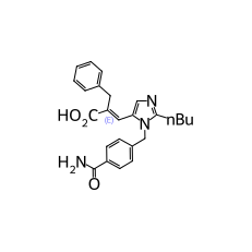 CCCCc1ncc(/C=C(\Cc2ccccc2)C(=O)O)n1Cc1ccc(C(N)=O)cc1